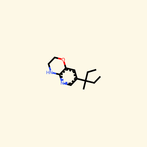 CCC(C)(CC)c1cnc2c(c1)OCCN2